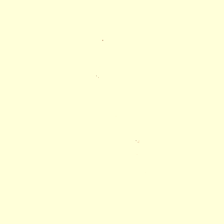 CC(C)(C)OC(=O)NCCSSCCNC(=O)c1ccccc1O